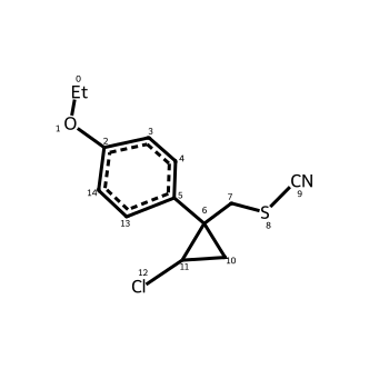 CCOc1ccc(C2(CSC#N)CC2Cl)cc1